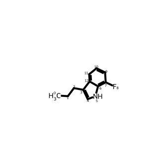 CCCc1c[nH]c2c(F)cccc12